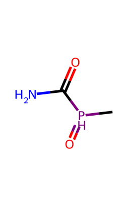 C[PH](=O)C(N)=O